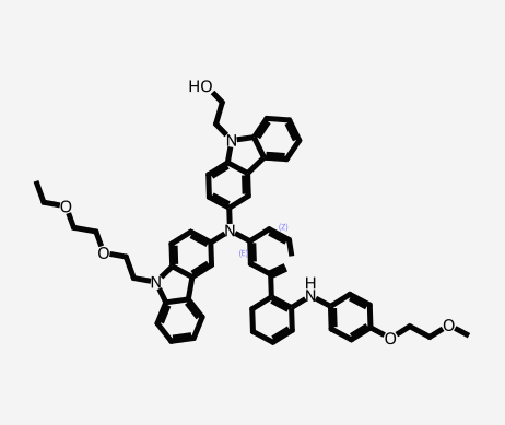 C=C(/C=C(\C=C/C)N(c1ccc2c(c1)c1ccccc1n2CCO)c1ccc2c(c1)c1ccccc1n2CCOCCOCC)C1=C(Nc2ccc(OCCOC)cc2)C=CCC1